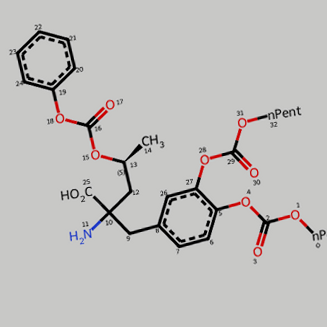 CCCCCOC(=O)Oc1ccc(CC(N)(C[C@H](C)OC(=O)Oc2ccccc2)C(=O)O)cc1OC(=O)OCCCCC